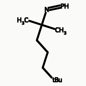 CC(C)(C)CCCC(C)(C)N=P